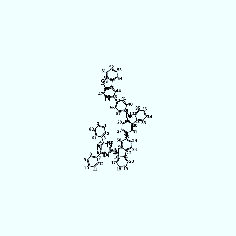 c1ccc(-c2nc(-c3ccccc3)nc(-n3c4ccccc4c4ccc(-c5ccc6c(c5)c5ccccc5n6-c5ccc(-c6cc7c(cn6)sc6ccccc67)cc5)cc43)n2)cc1